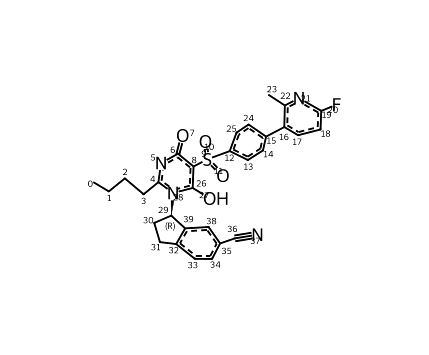 CCCCc1nc(=O)c(S(=O)(=O)c2ccc(-c3ccc(F)nc3C)cc2)c(O)n1[C@@H]1CCc2ccc(C#N)cc21